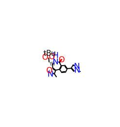 Cc1noc2c1-c1ccc(-c3cnn(C)c3)cc1C(=O)N[C@H]2CC(=O)OC(C)(C)C